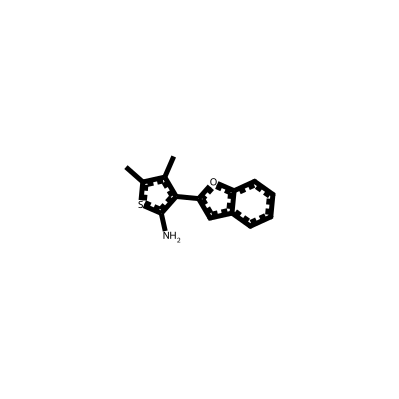 Cc1sc(N)c(-c2cc3ccccc3o2)c1C